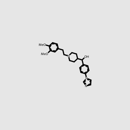 COc1ccc(CCN2CCC(C(O)c3ccc(-n4ccnc4)cc3)CC2)cc1OC